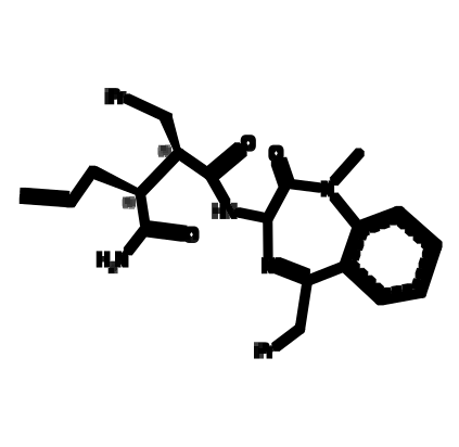 C=CC[C@H](C(N)=O)[C@@H](CC(C)C)C(=O)NC1N=C(CC(C)C)c2ccccc2N(C)C1=O